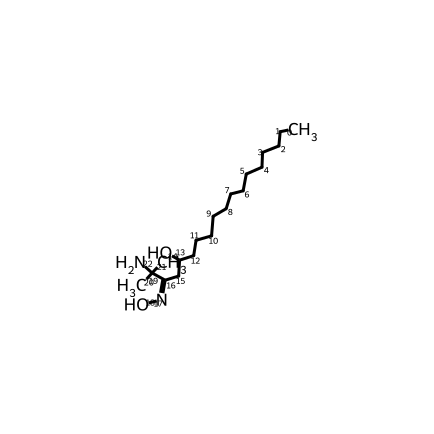 CCCCCCCCCCCCCC(O)C/C(=N/O)C(C)(C)N